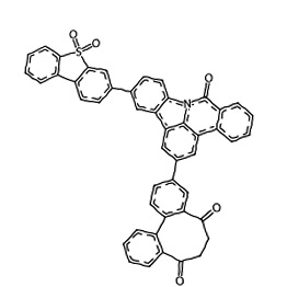 O=C1CCC(=O)c2cc(-c3cc4c5ccccc5c(=O)n5c6ccc(-c7ccc8c(c7)S(=O)(=O)c7ccccc7-8)cc6c(c3)c45)ccc2-c2ccccc21